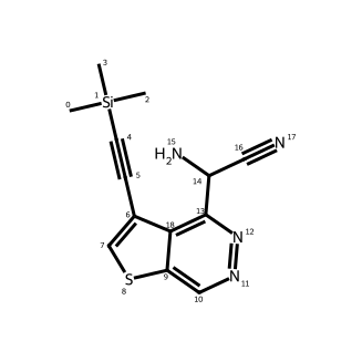 C[Si](C)(C)C#Cc1csc2cnnc(C(N)C#N)c12